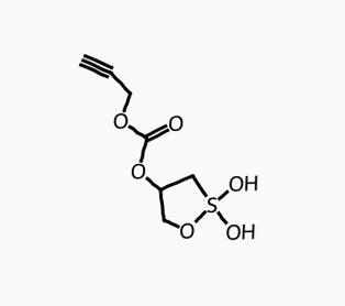 C#CCOC(=O)OC1COS(O)(O)C1